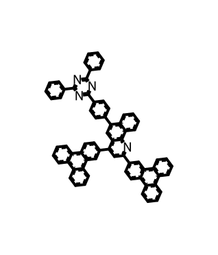 c1ccc(-c2nc(-c3ccccc3)nc(-c3ccc(-c4cc5c(-c6ccc7c8ccccc8c8ccccc8c7c6)cc(-c6ccc7c8ccccc8c8ccccc8c7c6)nc5c5ccccc45)cc3)n2)cc1